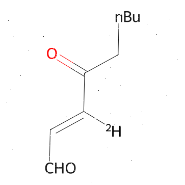 [2H]/C(=C\C=O)C(=O)CCCCC